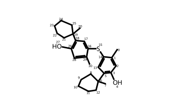 Cc1cc(O)c(C2(C)CCCCC2)cc1Sc1cc(C2(C)CCCCC2)c(O)cc1C